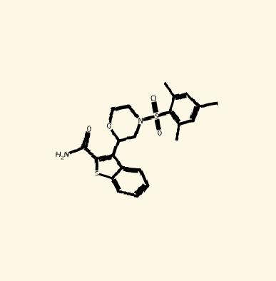 Cc1cc(C)c(S(=O)(=O)N2CCOC(c3c(C(N)=O)sc4ccccc34)C2)c(C)c1